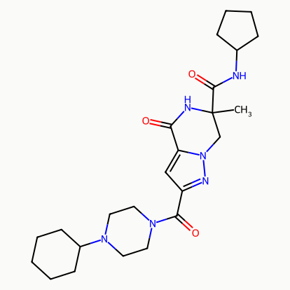 CC1(C(=O)NC2CCCC2)Cn2nc(C(=O)N3CCN(C4CCCCC4)CC3)cc2C(=O)N1